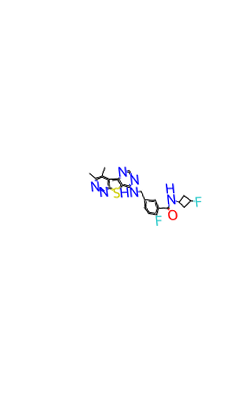 Cc1nnc2sc3c(NCc4ccc(F)c(C(=O)NC5CC(F)C5)c4)ncnc3c2c1C